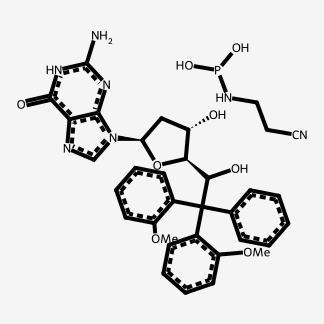 COc1ccccc1C(c1ccccc1)(c1ccccc1OC)C(O)[C@H]1O[C@@H](n2cnc3c(=O)[nH]c(N)nc32)C[C@@H]1O.N#CCCNP(O)O